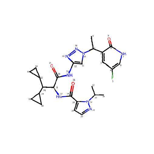 CC(c1cc(F)c[nH]c1=O)n1cc(NC(=O)[C@@H](NC(=O)c2ccnn2C(C)C)C(C2CC2)C2CC2)nn1